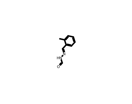 Cc1ccccc1/C=N/NC=O